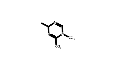 CC1N=CN(C(Cl)(Cl)Cl)C(C(Cl)(Cl)Cl)=N1